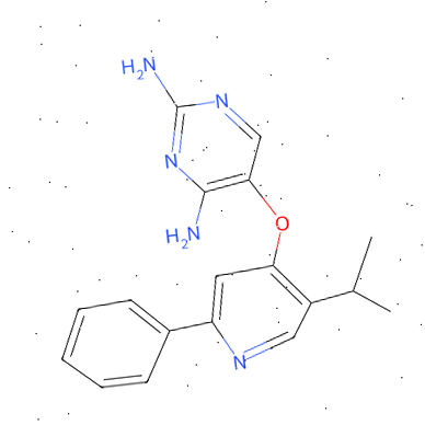 CC(C)c1cnc(-c2ccccc2)cc1Oc1cnc(N)nc1N